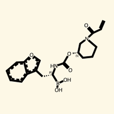 C=CC(=O)N1CCC[C@H](OC(=O)N[C@@H](Cc2coc3ccccc23)B(O)O)C1